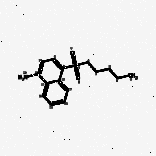 CCCCCS(=O)(=O)c1ccc(N)c2ccccc12